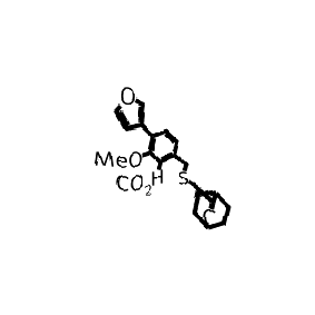 COc1c(-c2ccoc2)ccc(CSC2CC3CCC2CC3)c1C(=O)O